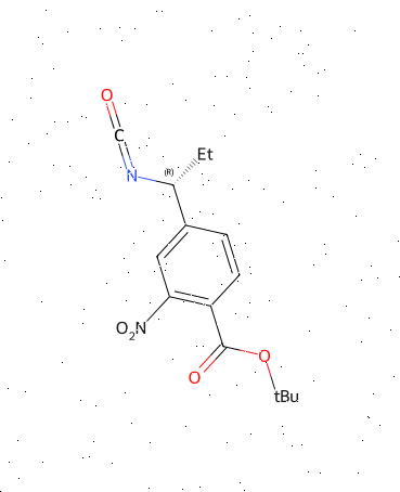 CC[C@@H](N=C=O)c1ccc(C(=O)OC(C)(C)C)c([N+](=O)[O-])c1